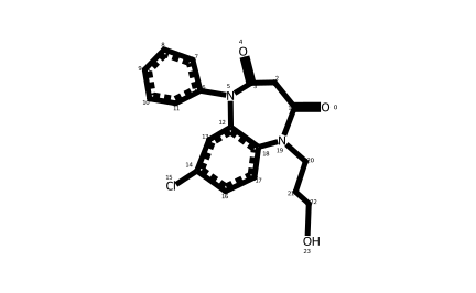 O=C1CC(=O)N(c2ccccc2)c2cc(Cl)ccc2N1CCCO